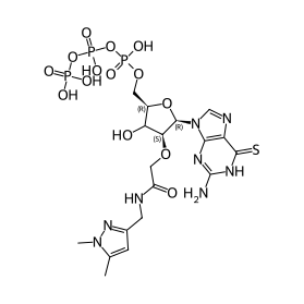 Cc1cc(CNC(=O)CO[C@H]2C(O)[C@@H](COP(=O)(O)OP(=O)(O)OP(=O)(O)O)O[C@H]2n2cnc3c(=S)[nH]c(N)nc32)nn1C